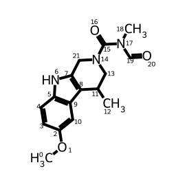 COc1ccc2[nH]c3c(c2c1)C(C)CN(C(=O)N(C)C=O)C3